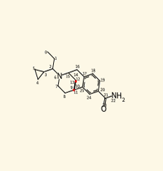 CCC(C1CC1)N1CCC23CCCCC2C1Cc1ccc(C(N)=O)cc13